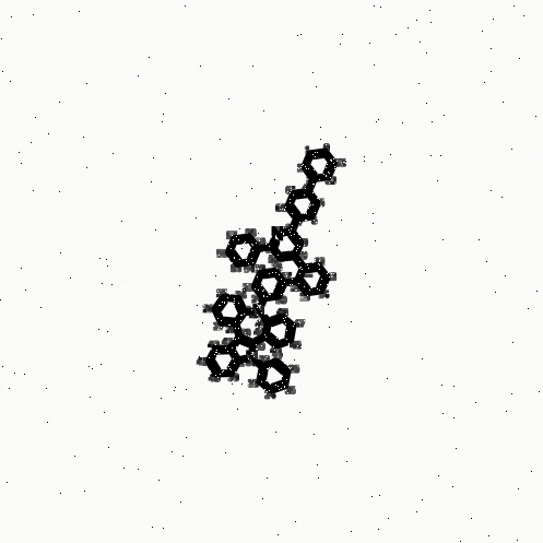 c1ccc(-c2ccc(-c3cc(-c4ccccc4-c4cccc(N5c6ccccc6-c6c(n(-c7ccccc7)c7ccccc67)-c6ccccc65)c4)cc(-c4ccccc4)n3)cc2)cc1